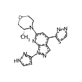 C[C@@H]1COCCN1c1cc(-c2nncs2)c2cnn(-c3cc[nH]n3)c2n1